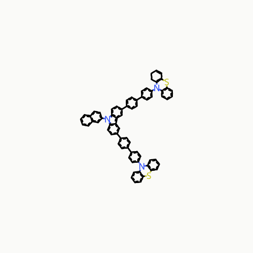 C1=CC2=C(CC1)N(c1ccc(-c3ccc(-c4ccc5c(c4)c4cc(-c6ccc(-c7ccc(N8c9ccccc9Sc9ccccc98)cc7)cc6)ccc4n5-c4ccc5ccccc5c4)cc3)cc1)c1ccccc1S2